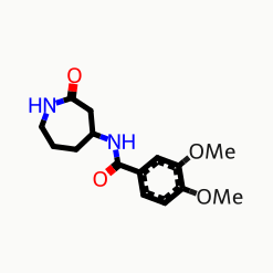 COc1ccc(C(=O)NC2CCCNC(=O)C2)cc1OC